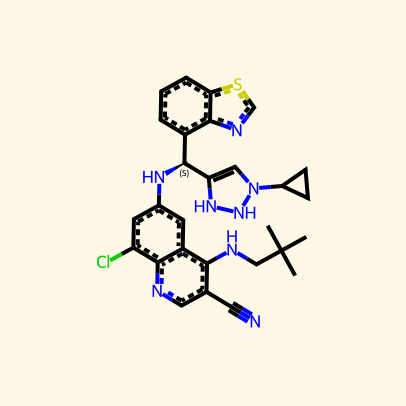 CC(C)(C)CNc1c(C#N)cnc2c(Cl)cc(N[C@H](C3=CN(C4CC4)NN3)c3cccc4scnc34)cc12